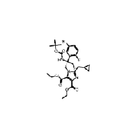 CCOC(=O)c1nc(CC2CC2)n(C[C@](CF)(NC(=O)OC(C)(C)C)c2cc(Br)ccc2F)c1C(=O)OCC